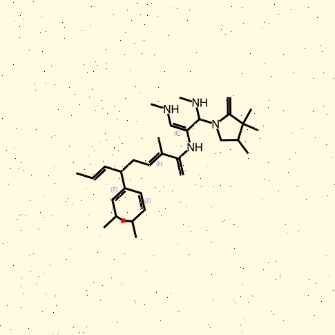 C=C(N/C(=C/NC)C(NC)N1CC(C)C(C)(C)C1=C)/C(C)=C/CC(C=CC)C(/C=C\C(C)C)=C/C(C)C